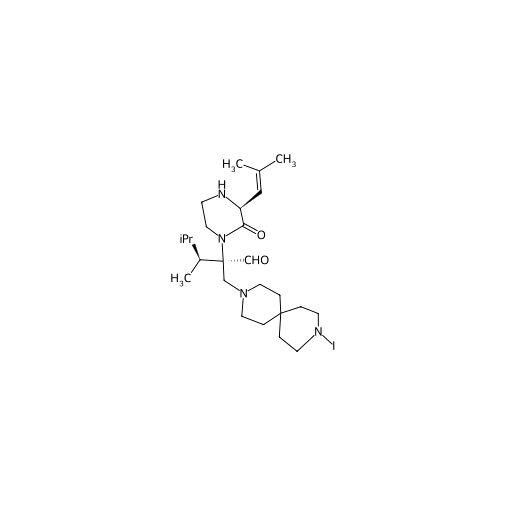 CC(C)=C[C@@H]1NCCN([C@@](C=O)(CN2CCC3(CCN(I)CC3)CC2)[C@@H](C)C(C)C)C1=O